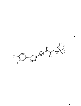 O=C(COC1(OC(F)(F)F)CCC1)NC12CC(n3cnc(-c4ccc(Cl)c(F)c4)c3)(C1)C2